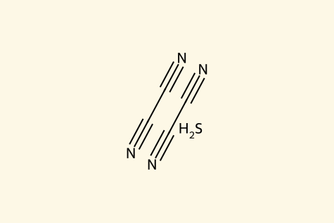 N#CC#N.N#CC#N.S